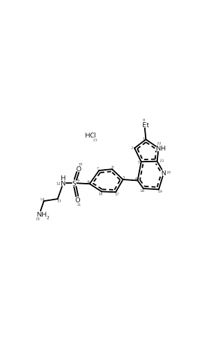 CCc1cc2c(-c3ccc(S(=O)(=O)NCCN)cc3)ccnc2[nH]1.Cl